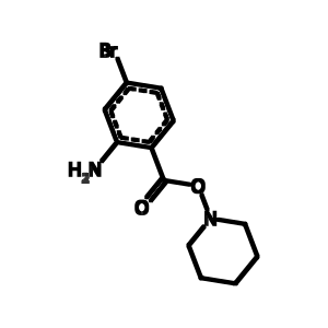 Nc1cc(Br)ccc1C(=O)ON1CCCCC1